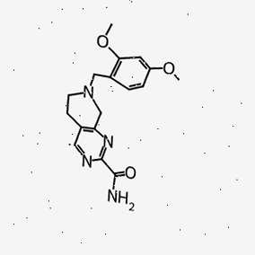 COc1ccc(CN2CCc3[c]nc(C(N)=O)nc3C2)c(OC)c1